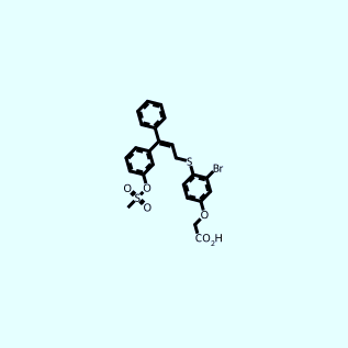 CS(=O)(=O)Oc1cccc(/C(=C\CSc2ccc(OCC(=O)O)cc2Br)c2ccccc2)c1